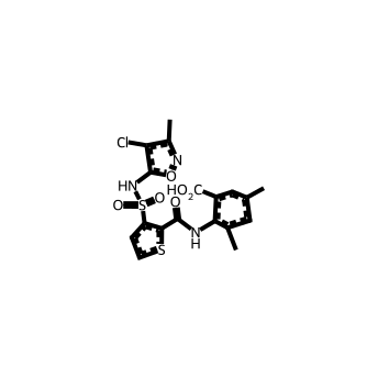 Cc1cc(C)c(NC(=O)c2sccc2S(=O)(=O)Nc2onc(C)c2Cl)c(C(=O)O)c1